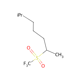 CC(C)CCCC(C)S(=O)(=O)C(F)(F)F